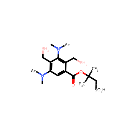 BCc1c(C(=O)OC(CS(=O)(=O)O)(C(F)(F)F)C(F)(F)F)cc(N(C)C(C)=O)c(CB)c1N(C)C(C)=O